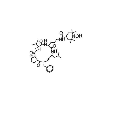 CC(C)C[C@H]1/C=C/[C@H](Cc2ccccc2)C(=O)N2CCC[C@H]2C(=O)N[C@@H](C(C)C)C(=O)N[C@@H](CCCNC(=O)C2CC(C)(C)N(O)C(C)(C)C2)C(=O)N1